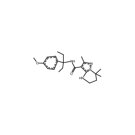 CCC(CC)(NC(=O)c1c(C)nn2c1NCCC2(C)C)c1ccc(OC)cc1